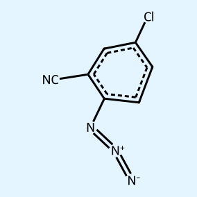 N#Cc1cc(Cl)ccc1N=[N+]=[N-]